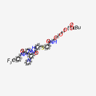 CC(C)(C)OC(=O)CCOCCOCCOCCNC(=O)c1cccc(SCc2cccc(C(=O)Nc3ccc(N4CCCCC4)cc3-c3cc(C(=O)NCc4cccc(C(F)(F)F)c4)ccn3)c2)c1